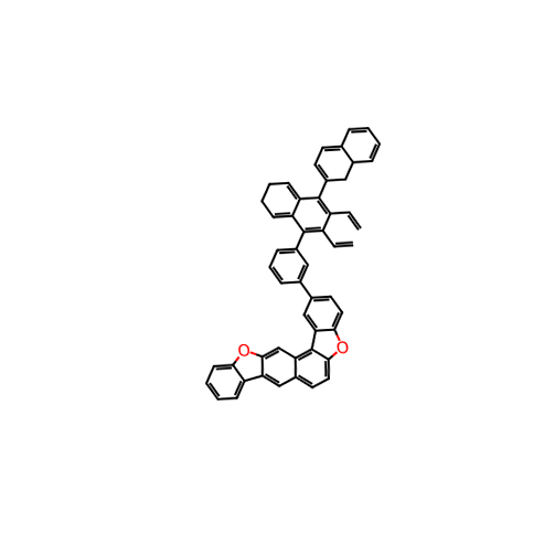 C=Cc1c(C=C)c(-c2cccc(-c3ccc4oc5ccc6cc7c(cc6c5c4c3)oc3ccccc37)c2)c2c(c1C1=CC=C3C=CC=CC3C1)=CCCC=2